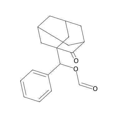 O=COC(c1ccccc1)C12CC3CC(CC(C3)C1=O)C2